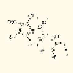 Cc1c(C(=O)O)c(Cl)n(C)c1C(=O)C(=O)NC(CF)C(F)F